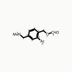 CNCc1ccc(COC=O)c(C(C)=O)c1